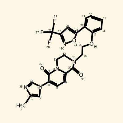 Cc1cn(-c2ccc3n(c2=O)CCN(CCOc2ccccc2-c2cc(C(F)(F)F)no2)C3=O)cn1